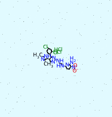 Cc1nc(C)c(-c2cnc(NCCNc3ccc([N+](=O)[O-])c(N)n3)nc2-c2ccc(Cl)cc2Cl)[nH]1.Cl.Cl